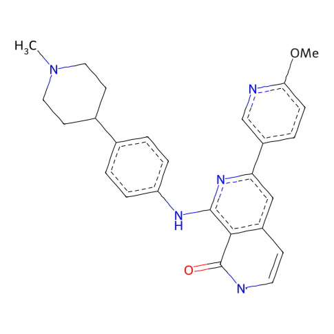 COc1ccc(-c2cc3c(c(Nc4ccc(C5CCN(C)CC5)cc4)n2)C(=O)[N]C=C3)cn1